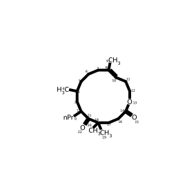 CCCC1CC(C)CCC/C(C)=C/CCOC(=O)CCC(C)(C)C1=O